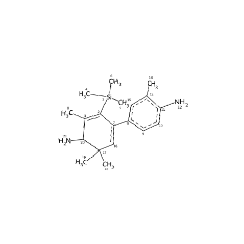 CC1=C([Si](C)(C)C)C(c2ccc(N)c(C)c2)=CC(C)(C)C1N